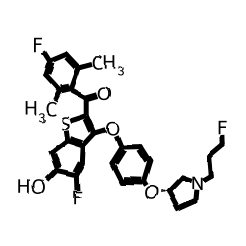 Cc1cc(F)cc(C)c1C(=O)c1sc2cc(O)c(F)cc2c1Oc1ccc(O[C@H]2CCN(CCCF)C2)cc1